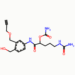 C#CCOCc1cc(NC(=O)C(CCCNC(N)=O)OC(N)=O)ccc1CO